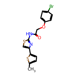 Cc1ccc(-c2csc(NC(=O)COc3ccc(Br)cc3)n2)s1